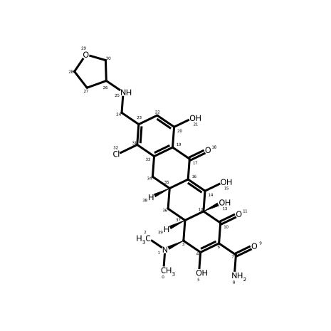 CN(C)[C@@H]1C(O)=C(C(N)=O)C(=O)[C@@]2(O)C(O)=C3C(=O)c4c(O)cc(CNC5CCOC5)c(Cl)c4C[C@H]3C[C@@H]12